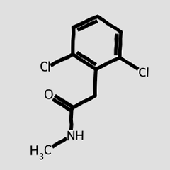 CNC(=O)Cc1c(Cl)cccc1Cl